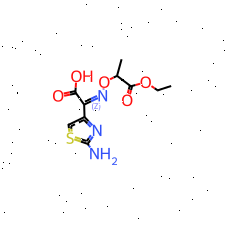 CCOC(=O)C(C)O/N=C(\C(=O)O)c1csc(N)n1